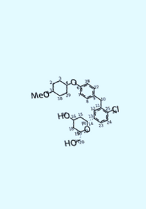 COC1CCC(Oc2ccc(Cc3cc([C@H]4CC(O)C[C@@H](CO)O4)ccc3Cl)cc2)CC1